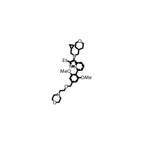 CCc1nn2c(-c3c(OC)cc(COCCN4CCOCC4)cc3OC)cccc2c1N(CC1CCOCC1)CC1CC1